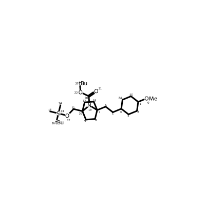 COC1CCC(CCC23CCC(CO[Si](C)(C)C(C)(C)C)(CC2)N3C(=O)OC(C)(C)C)CC1